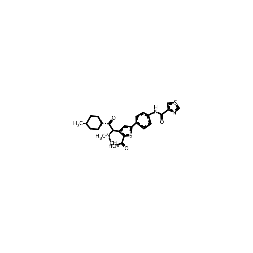 CN(C)C(c1cc(-c2ccc(NC(=O)c3cscn3)cc2)sc1C(=O)O)C(=O)[C@H]1CC[C@H](C)CC1